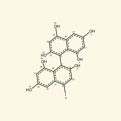 Oc1cc(O)c2c(-c3c(O)cc(I)c4cc(O)cc(O)c34)c(O)cc(O)c2c1